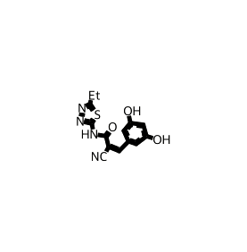 CCc1nnc(NC(=O)C(C#N)=Cc2cc(O)cc(O)c2)s1